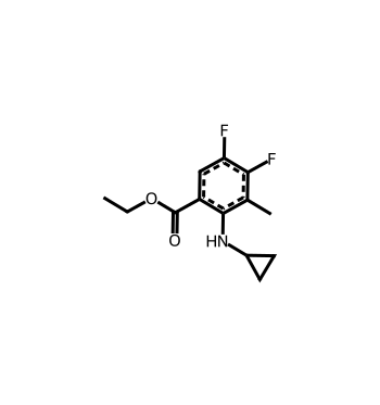 CCOC(=O)c1cc(F)c(F)c(C)c1NC1CC1